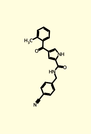 Cc1ccccc1C(=O)c1c[nH]c(C(=O)NCc2ccc(C#N)cc2)c1